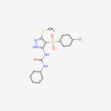 CSc1n[nH]c(NC(=O)Nc2ccccc2)c1S(=O)(=O)c1ccc(Cl)cc1